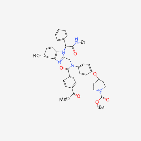 CCNC(=O)[C@H](c1ccccc1)n1c(CN(C(=O)c2ccc(C(=O)OC)cc2)c2ccc(OC3CCN(C(=O)OC(C)(C)C)CC3)cc2)nc2cc(C#N)ccc21